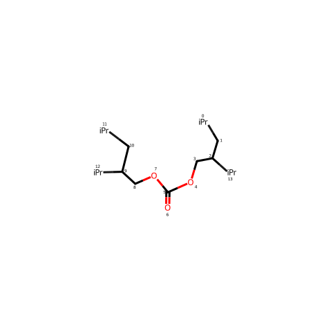 CC(C)CC(COC(=O)OCC(CC(C)C)C(C)C)C(C)C